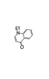 CCn1ccc(=O)c2ccccc21